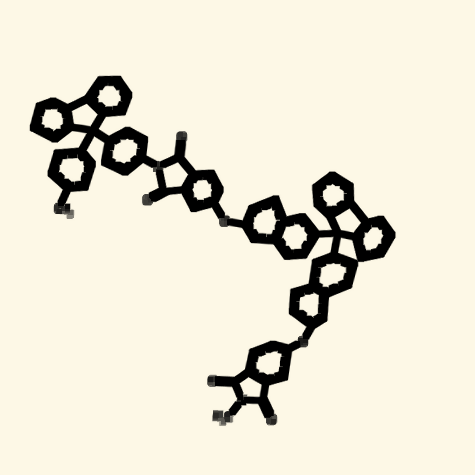 Cc1ccc(C2(c3ccc(N4C(=O)c5ccc(Oc6ccc7cc(C8(c9ccc%10cc(Oc%11ccc%12c(c%11)C(=O)N(C)C%12=O)ccc%10c9)c9ccccc9-c9ccccc98)ccc7c6)cc5C4=O)cc3)c3ccccc3-c3ccccc32)cc1